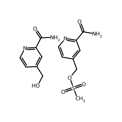 CS(=O)(=O)OCc1ccnc(C(N)=O)c1.NC(=O)c1cc(CO)ccn1